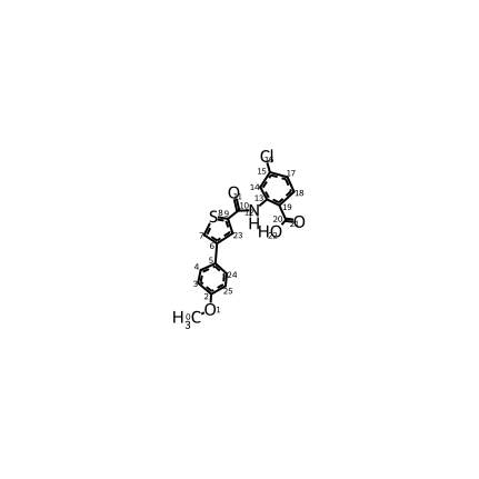 COc1ccc(-c2csc(C(=O)Nc3cc(Cl)ccc3C(=O)O)c2)cc1